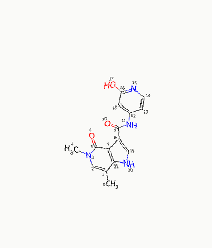 Cc1cn(C)c(=O)c2c(C(=O)Nc3ccnc(O)c3)c[nH]c12